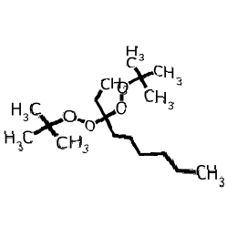 CCCCCCC(CC)(OOC(C)(C)C)OOC(C)(C)C